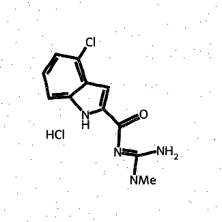 CNC(N)=NC(=O)c1cc2c(Cl)cccc2[nH]1.Cl